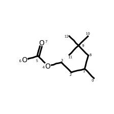 CC(CCOC([O])=O)CC(C)(C)C